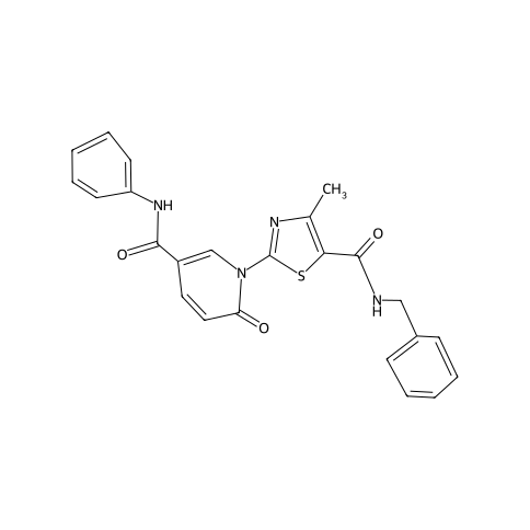 Cc1nc(-n2cc(C(=O)Nc3ccccc3)ccc2=O)sc1C(=O)NCc1ccccc1